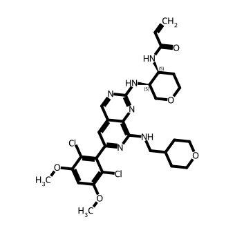 C=CC(=O)N[C@H]1CCOC[C@H]1Nc1ncc2cc(-c3c(Cl)c(OC)cc(OC)c3Cl)nc(NCC3CCOCC3)c2n1